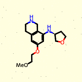 COCCOc1cc2c(c(N[C@H]3CCOC3)c1)CNCC2